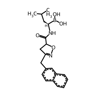 CC(C)C[C@H](NC(=O)C1CC(Cc2ccc3ccccc3c2)=NO1)B(O)O